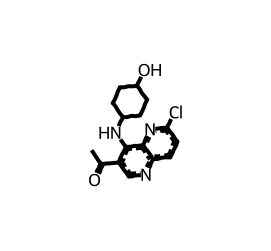 CC(=O)c1cnc2ccc(Cl)nc2c1NC1CCC(O)CC1